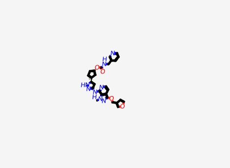 Cn1nc(OCC2CCOC2)c2ccnc(NC3=NNC([C@H]4CC[C@@H](OC(=O)NCC5C=CC=NC5)C4)C3)c21